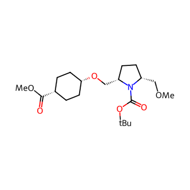 COC[C@H]1CC[C@@H](CO[C@H]2CC[C@@H](C(=O)OC)CC2)N1C(=O)OC(C)(C)C